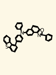 c1ccc(-c2nc3c(ccc4cc(N(c5ccccc5)c5ccc(-c6cccc7sc8ccccc8c67)cc5)ccc43)o2)cc1